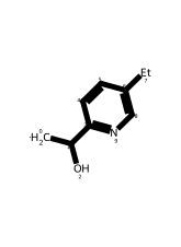 [CH2]C(O)c1ccc(CC)cn1